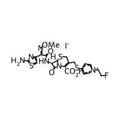 CO/N=C(\C(=O)N[C@@H]1C(=O)N2C(C(=O)O)=C(CSc3cc[n+](CCF)cc3)CS[C@H]12)c1csc(N)n1.[I-]